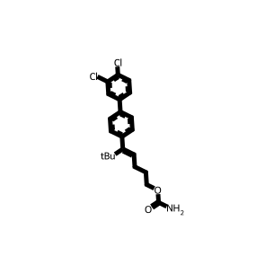 CC(C)(C)C(=CCCCOC(N)=O)c1ccc(-c2ccc(Cl)c(Cl)c2)cc1